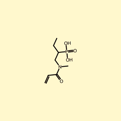 C=CC(=O)N(C)CC(CC)P(=O)(O)O